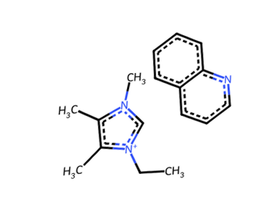 CC[n+]1cn(C)c(C)c1C.c1ccc2ncccc2c1